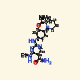 CCNc1nc(Nc2ccc(N3CCCCC3C(=O)NC)cc2)ncc1C(N)=O